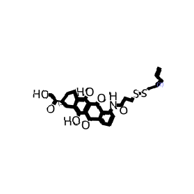 C=C/C=C\CSSCCC(=O)Nc1cccc2c1C(=O)c1c(O)c3c(c(O)c1C2=O)C[C@@H](C(=O)CO)CC3